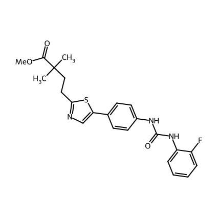 COC(=O)C(C)(C)CCc1ncc(-c2ccc(NC(=O)Nc3ccccc3F)cc2)s1